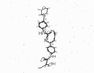 CC(O)C(=O)Nc1ccc(-c2ccnc(Nc3ccc(N4CCOCC4)cc3)n2)cc1